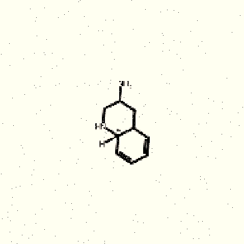 NC1CN[C@H]2C=CC=CC2C1